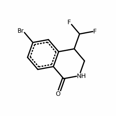 O=C1NCC(C(F)F)c2cc(Br)ccc21